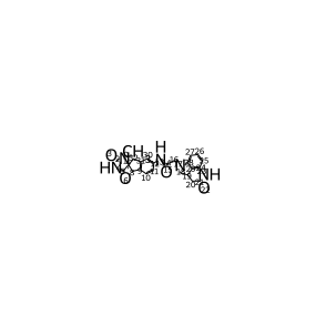 CN1C(=O)NC(=O)C12Cc1ccc(NC(=O)CN3CC4CC(=O)Nc5cccc3c54)cc1C2